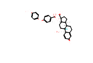 C[C@]12C=CC(=O)C=C1CC[C@H]1[C@@H]3CC[C@@](OC(=O)c4ccc(Oc5ccc(O)cc5)cc4)(C(=O)O)[C@@]3(C)C[C@H](O)C12F